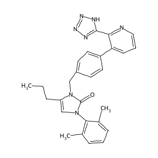 CCCc1cn(-c2c(C)cccc2C)c(=O)n1Cc1ccc(-c2cccnc2-c2nnn[nH]2)cc1